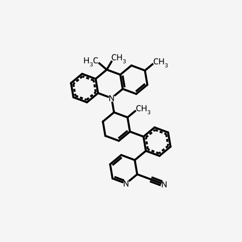 CC1C=CC2=C(C1)C(C)(C)c1ccccc1N2C1CCC=C(c2ccccc2C2C=CC=NC2C#N)C1C